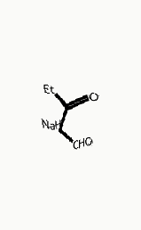 CCC(=O)CC=O.[NaH]